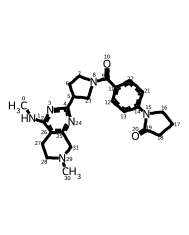 CNc1nc(C2CCN(C(=O)c3ccc(N4CCCC4=O)cc3)C2)nc2c1CCN(C)C2